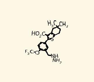 CC1(C)CCc2sc(-c3ccc(OC(F)(F)F)c(CNN)c3)c(C(=O)O)c2C1